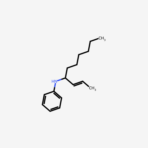 CC=CC(CCCCCC)Nc1ccccc1